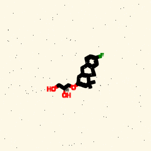 CC1(C)C=C(OC[C@H](O)CO)CC2=C1Cc1cc(F)ccc1C2